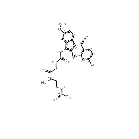 COc1ccc2c(c1)c(CC(=O)OCC(=O)N(C)CCO[N+](=O)[O-])c(C)n2C(=O)c1ccc(Cl)cc1